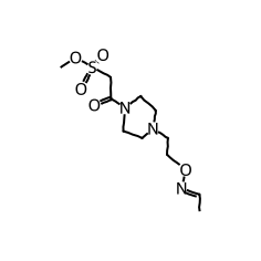 C/C=N/OCCN1CCN(C(=O)CS(=O)(=O)OC)CC1